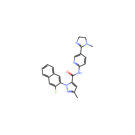 Cc1cc(C(=O)Nc2ccc(C3=NCCN3C)cn2)n(-c2cc3ccccc3cc2F)n1